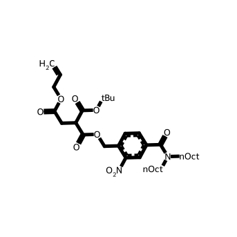 C=CCOC(=O)CC(C(=O)OCc1ccc(C(=O)N(CCCCCCCC)CCCCCCCC)cc1[N+](=O)[O-])C(=O)OC(C)(C)C